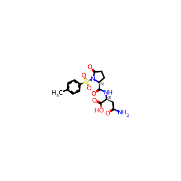 Cc1ccc(S(=O)(=O)N2C(=O)CC[C@H]2C(=O)N[C@@H](CC(N)=O)C(=O)O)cc1